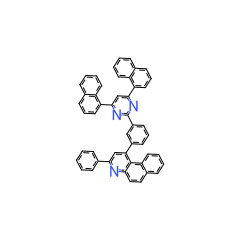 c1ccc(-c2cc(-c3cccc(-c4nc(-c5cccc6ccccc56)cc(-c5cccc6ccccc56)n4)c3)c3c(ccc4ccccc43)n2)cc1